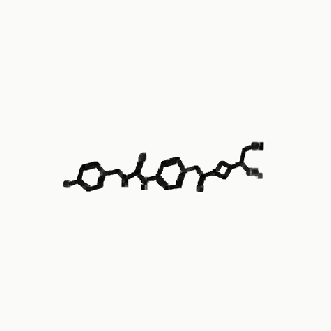 CC(CO)C1CN(C(=O)Cc2ccc(NC(=O)NCc3ccc(Cl)cc3)cc2)C1